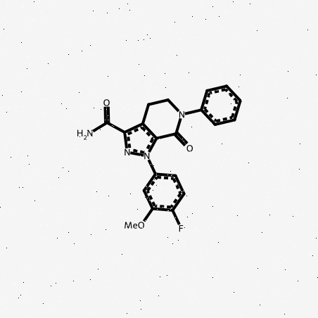 COc1cc(-n2nc(C(N)=O)c3c2C(=O)N(c2ccccc2)CC3)ccc1F